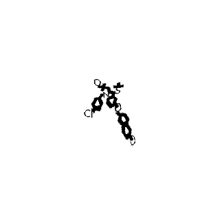 COc1ccc2cc(COc3ccc4c(c3)c(SC(C)(C)C)c(CC(C)(C)C=O)n4Cc3ccc(Cl)cc3)ccc2c1